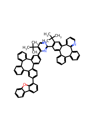 CC(C)(C)c1cc2c(cc1-c1ncc(C(C)(C)C)c(-c3ccc4c(c3)-c3ccccc3-c3ccccc3-c3cc(-c5cccc6c5oc5ccccc56)ccc3-4)n1)-c1ccccc1-c1ccccc1-c1ncccc1-2